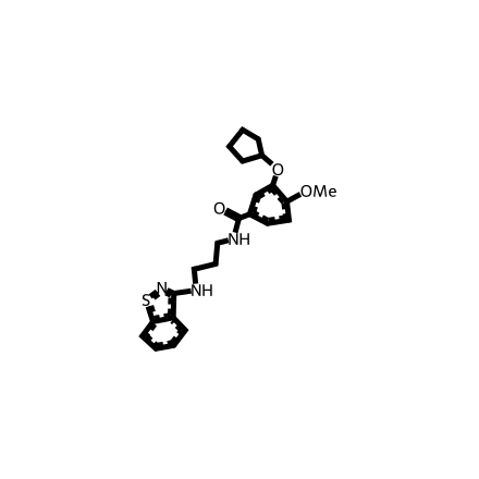 COc1ccc(C(=O)NCCCNc2nsc3ccccc23)cc1OC1CCCC1